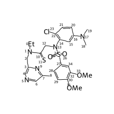 CCN(Cc1cncc(C)n1)C(=S)CN(c1cc(N(C)C)ccc1Cl)S(=O)(=O)c1ccc(OC)c(OC)c1